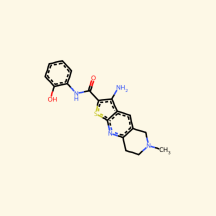 CN1CCc2nc3sc(C(=O)Nc4ccccc4O)c(N)c3cc2C1